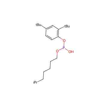 CC(C)CCCCCOP(O)Oc1ccc(C(C)(C)C)cc1C(C)(C)C